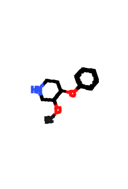 CCOC1CNCCC1Oc1ccccc1